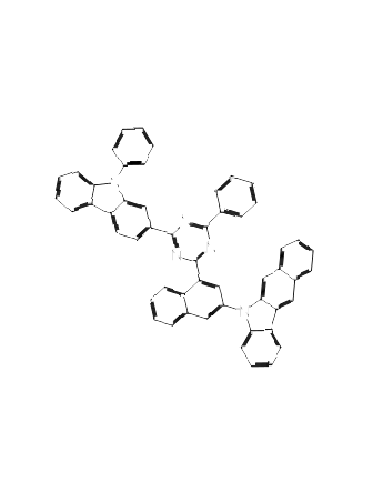 c1ccc(-c2nc(-c3ccc4c5ccccc5n(-c5ccccc5)c4c3)nc(-c3cc(-n4c5ccccc5c5cc6ccccc6cc54)cc4ccccc34)n2)cc1